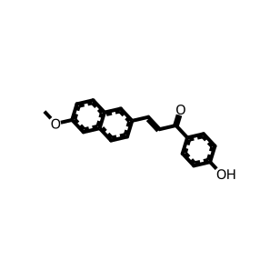 COc1ccc2cc(C=CC(=O)c3ccc(O)cc3)ccc2c1